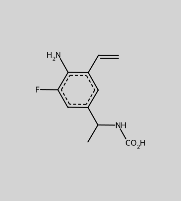 C=Cc1cc(C(C)NC(=O)O)cc(F)c1N